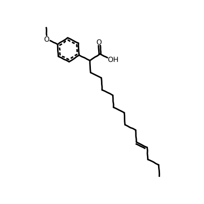 CCC/C=C/CCCCCCCCC(C(=O)O)c1ccc(OC)cc1